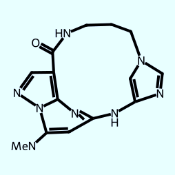 CNc1cc2nc3c(cnn13)C(=O)NCCCn1cnc(c1)N2